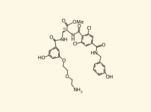 COC(=O)[C@H](CNC(=O)c1cc(O)cc(OCCOCCN)c1)NC(=O)c1c(Cl)cc(C(=O)NCc2cccc(O)c2)cc1Cl